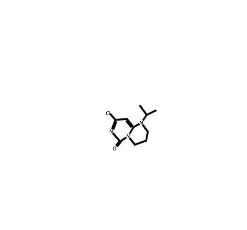 CC(C)N1CCCn2c1cc(Cl)nc2=O